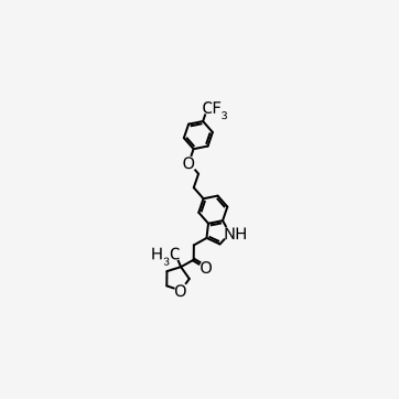 CC1(C(=O)Cc2c[nH]c3ccc(CCOc4ccc(C(F)(F)F)cc4)cc23)CCOC1